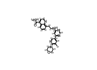 CNC(=O)c1ccnc2c(CCNc3cc(-c4cnc(N5CCOCC5)c(C)c4)ncn3)cccc12